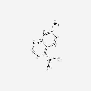 Nc1ccc2c(B(O)O)ccnc2n1